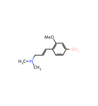 Bc1ccc(/C=C/CN(C)C)c(OC)c1